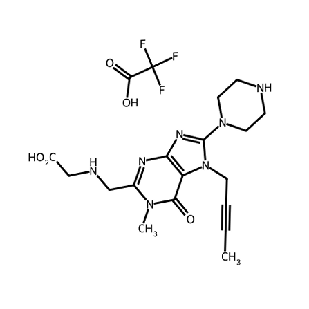 CC#CCn1c(N2CCNCC2)nc2nc(CNCC(=O)O)n(C)c(=O)c21.O=C(O)C(F)(F)F